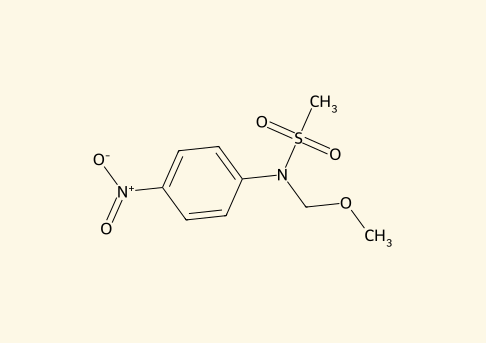 COCN(c1ccc([N+](=O)[O-])cc1)S(C)(=O)=O